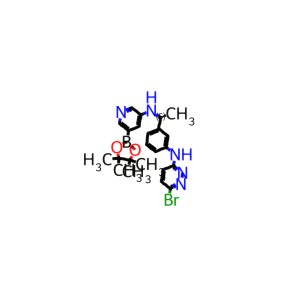 C[C@H](Nc1cncc(B2OC(C)(C)C(C)(C)O2)c1)c1cccc(Nc2ccc(Br)nn2)c1